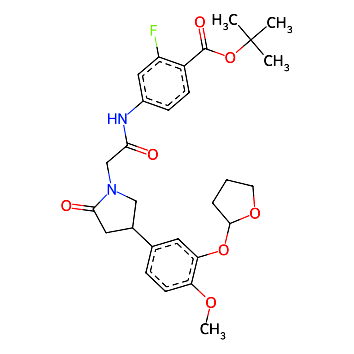 COc1ccc(C2CC(=O)N(CC(=O)Nc3ccc(C(=O)OC(C)(C)C)c(F)c3)C2)cc1OC1CCCO1